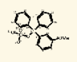 COc1cccc(S(O[Cl+3]([O-])([O-])[O-])(c2ccccc2)c2ccccc2)c1